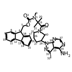 CN(C(=O)OCC1c2ccccc2-c2ccccc21)C(C)(C)C(=O)N1CCCC(n2nc(I)c3c(N)ncnc32)C1